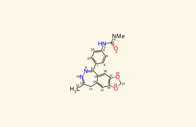 CNC(=O)Nc1ccc(C2=NN=C(C)Cc3cc4c(cc32)OCO4)cc1